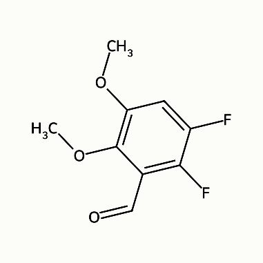 COc1cc(F)c(F)c(C=O)c1OC